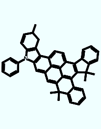 CC1C=Cc2c(c3c4ccc5c6c(c7c8c(cc(cc3n2-c2ccccc2)c4c58)C(C)(C)c2ccccc2-7)C(C)(C)c2ccccc2-6)C1